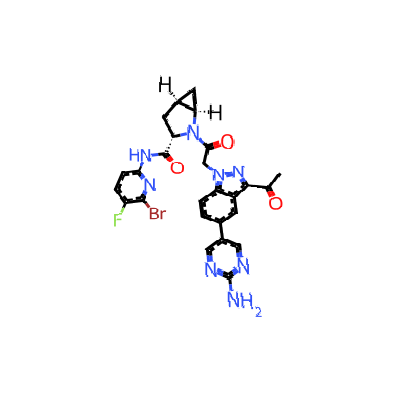 CC(=O)c1nn(CC(=O)N2[C@@H]3C[C@@H]3C[C@H]2C(=O)Nc2ccc(F)c(Br)n2)c2ccc(-c3cnc(N)nc3)cc12